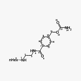 CCCCCCNCCNC(=O)c1ccc(COC(N)=O)cc1